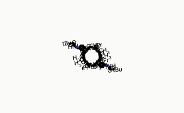 CC(C)C[C@H]1C(=O)O[C@H](Cc2ccc(/C=N/NC(=O)OC(C)(C)C)cc2)C(=O)N(C)[C@@H](CC(C)C)C(=O)O[C@H](C)C(=O)N(C)[C@@H](CC(C)C)C(=O)O[C@H](Cc2ccc(/C=N/NC(=O)OC(C)(C)C)cc2)C(=O)N(C)[C@@H](CC(C)C)C(=O)O[C@H](C)C(=O)N1C